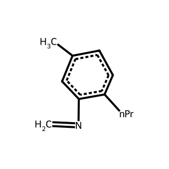 C=Nc1cc(C)ccc1CCC